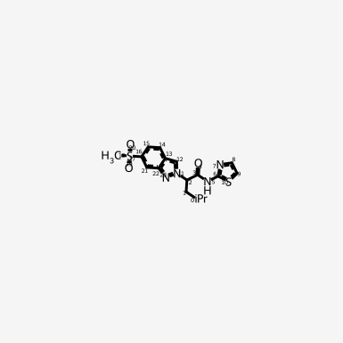 CC(C)CC(C(=O)Nc1nccs1)n1cc2ccc(S(C)(=O)=O)cc2n1